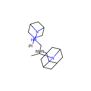 CNC12CC3CC(C1)N(C(C)CNN1C4CC1CN(C(C)C)C4)C(C3)C2